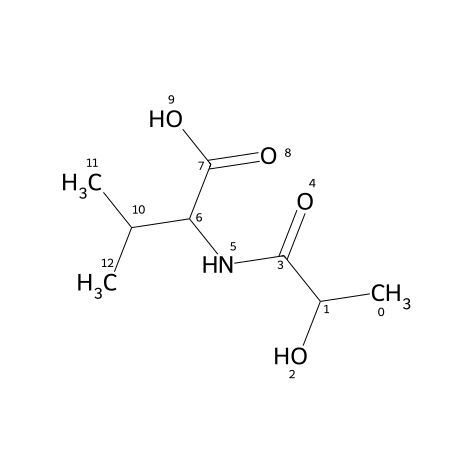 CC(O)C(=O)NC(C(=O)O)C(C)C